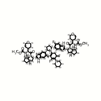 COC(=O)N[C@H](C(=O)N1[C@H](c2nc3cc([C@H]4CC[C@H](c5cc6nc([C@@H]7C[C@@H]8CCC[C@@H]8N7C(=O)[C@@H](NC(=O)OC)C7CCOCC7)[nH]c6cc5F)N4C4=CC(F)=C(N5CCCCC5)C(F)C4)c(F)cc3[nH]2)C[C@@H]2CCC[C@@H]21)C1CCOCC1